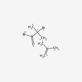 C=C(C)C.CC(C)(Br)C(=O)Br